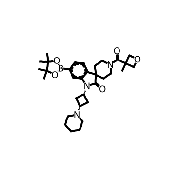 CC1(C(=O)N2CCC3(CC2)C(=O)N([C@H]2C[C@@H](N4CCCCC4)C2)c2cc(B4OC(C)(C)C(C)(C)O4)ccc23)COC1